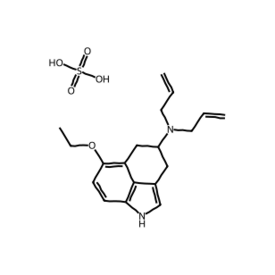 C=CCN(CC=C)C1Cc2c[nH]c3ccc(OCC)c(c23)C1.O=S(=O)(O)O